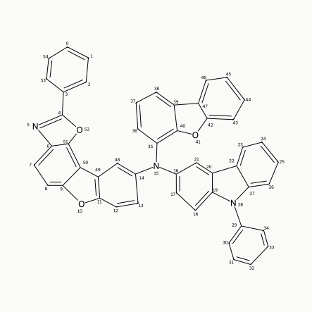 c1ccc(-c2nc3ccc4oc5ccc(N(c6ccc7c(c6)c6ccccc6n7-c6ccccc6)c6cccc7c6oc6ccccc67)cc5c4c3o2)cc1